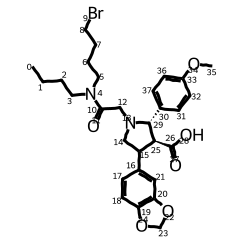 CCCCN(CCCCBr)C(=O)CN1CC(c2ccc3c(c2)OCO3)[C@H](C(=O)O)[C@H]1c1ccc(OC)cc1